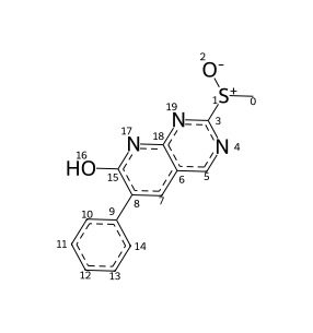 C[S+]([O-])c1ncc2cc(-c3ccccc3)c(O)nc2n1